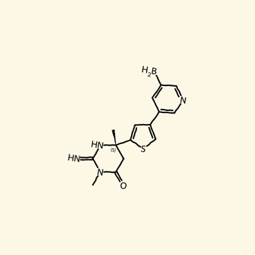 Bc1cncc(-c2csc([C@]3(C)CC(=O)N(C)C(=N)N3)c2)c1